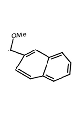 CO[CH]c1ccc2ccccc2c1